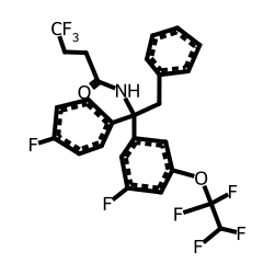 O=C(CCC(F)(F)F)NC(Cc1ccccc1)(c1ccc(F)cc1)c1cc(F)cc(OC(F)(F)C(F)F)c1